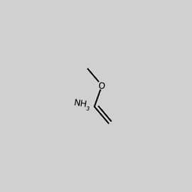 C=COC.N